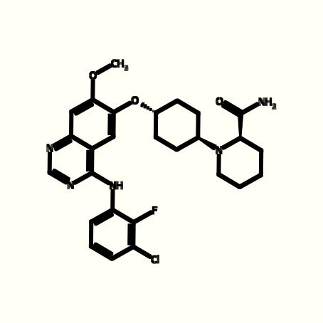 COc1cc2ncnc(Nc3cccc(Cl)c3F)c2cc1O[C@H]1CC[C@H](N2CCCC[C@@H]2C(N)=O)CC1